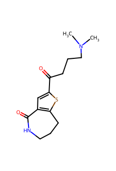 CN(C)CCCC(=O)c1cc2c(s1)CCCNC2=O